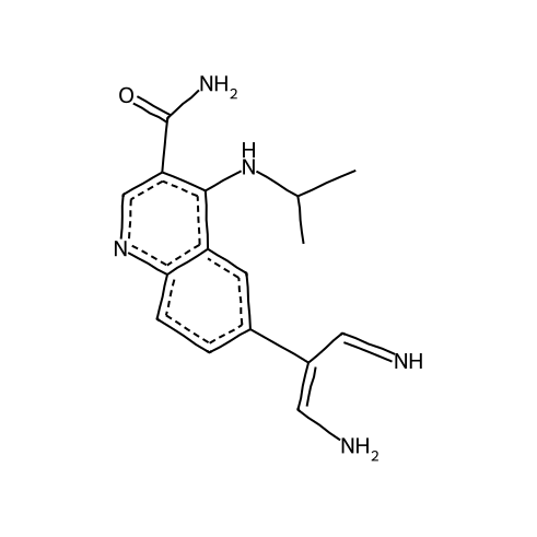 CC(C)Nc1c(C(N)=O)cnc2ccc(/C(C=N)=C/N)cc12